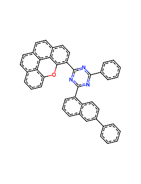 c1ccc(-c2ccc3c(-c4nc(-c5ccccc5)nc(-c5ccc6ccc7ccc8cccc9c8c7c6c5O9)n4)cccc3c2)cc1